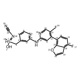 C[SH](O)(Cc1ccnc(Nc2cc(-c3ccc(F)c4ccoc34)c(F)cn2)c1)=NC#N